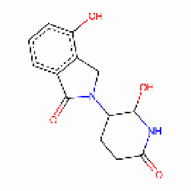 O=C1CCC(N2Cc3c(O)cccc3C2=O)C(O)N1